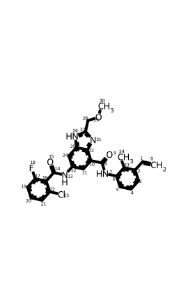 C=Cc1cccc(NC(=O)c2cc(NC(=O)c3c(F)cccc3Cl)cc3[nH]c(COC)nc23)c1C